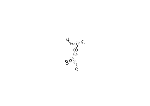 Cc1cc(/C=C/C(=O)N2CCN(c3nc(OC[C@@]45CCC(c6cc(F)c(Cl)c7c(-c8ncc9c(N(C)[C@@H]%10CCN(C(=O)/C=C/c%11nc(C)ncc%11F)C%10)nc(OCC%10%11CCCN%10CCC%11)nc9c8F)cccc67)N4C[C@H](F)C5)nc4c(F)c(-c5cccc6cccc(Cl)c56)ncc34)CC2)nc(C)n1